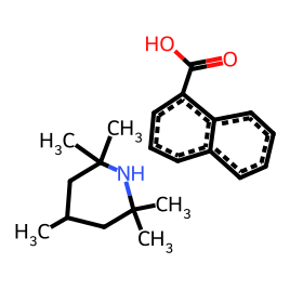 CC1CC(C)(C)NC(C)(C)C1.O=C(O)c1cccc2ccccc12